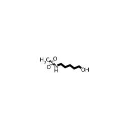 CS(=O)(=O)NCCCCCO